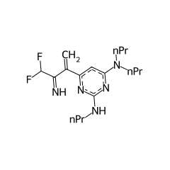 C=C(C(=N)C(F)F)c1cc(N(CCC)CCC)nc(NCCC)n1